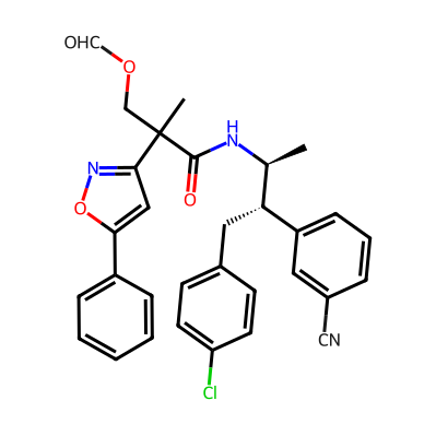 C[C@H](NC(=O)C(C)(COC=O)c1cc(-c2ccccc2)on1)[C@@H](Cc1ccc(Cl)cc1)c1cccc(C#N)c1